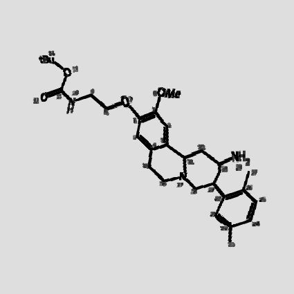 COc1cc2c(cc1OCCNC(=O)OC(C)(C)C)CCN1CC(c3cc(C)ccc3C)C(N)CC21